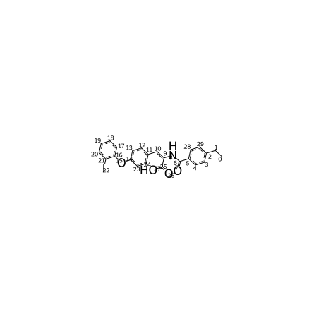 CCc1ccc(C(=O)NC(=Cc2ccc(Oc3ccccc3I)cc2)C(=O)O)cc1